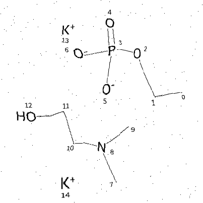 CCOP(=O)([O-])[O-].CN(C)CCO.[K+].[K+]